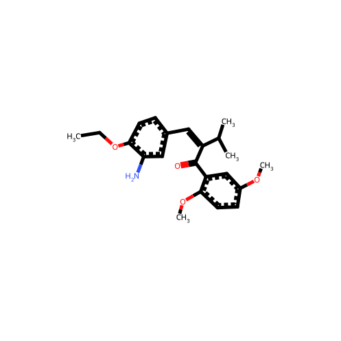 CCOc1ccc(C=C(C(=O)c2cc(OC)ccc2OC)C(C)C)cc1N